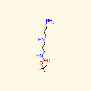 CC(C)(C)OC(=O)NCCCNCCCCN